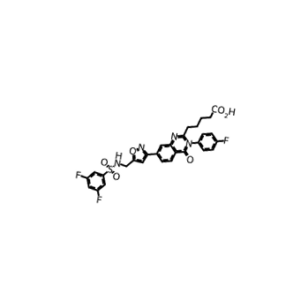 O=C(O)CCCCc1nc2cc(-c3cc(CNS(=O)(=O)c4cc(F)cc(F)c4)on3)ccc2c(=O)n1-c1ccc(F)cc1